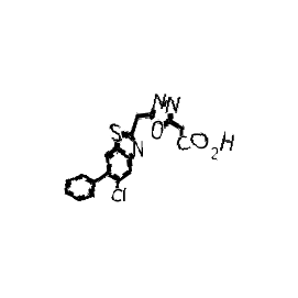 O=C(O)Cc1nnc(Cc2nc3cc(Cl)c(-c4ccccc4)cc3s2)o1